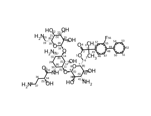 CC(C)(C(=O)OC[C@H]1O[C@H](O[C@@H]2[C@@H](O)[C@H](O[C@H]3O[C@H](CN)[C@@H](O)[C@H](O)[C@H]3O)[C@@H](N)C[C@H]2NC(=O)[C@@H](O)CCN)[C@H](O)[C@@H](N)[C@@H]1O)c1ccc(-c2ccccc2)c(F)c1